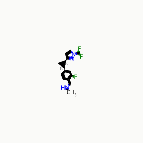 CNCc1ccc([C@@H]2C[C@H]2c2ccn(C(F)F)n2)cc1F